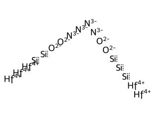 [Hf+4].[Hf+4].[Hf+4].[Hf+4].[Hf+4].[N-3].[N-3].[N-3].[N-3].[O-2].[O-2].[O-2].[O-2].[Si].[Si].[Si].[Si].[Si]